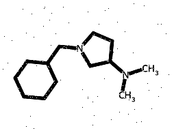 CN(C)C1CCN(CC2CCCCC2)C1